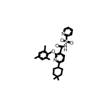 Cc1cc(C)c(Oc2nc(C3CCC(C)(C)CC3)ccc2C(=O)NS(=O)(=O)c2ccccn2)c(C)c1